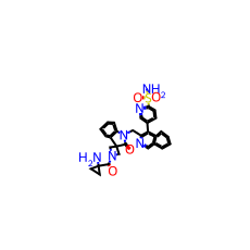 NC1(C(=O)N2CC3(C2)C(=O)N(Cc2ncc4ccccc4c2-c2ccc(S(N)(=O)=O)nc2)c2ccccc23)CC1